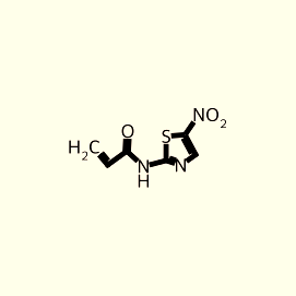 C=CC(=O)Nc1ncc([N+](=O)[O-])s1